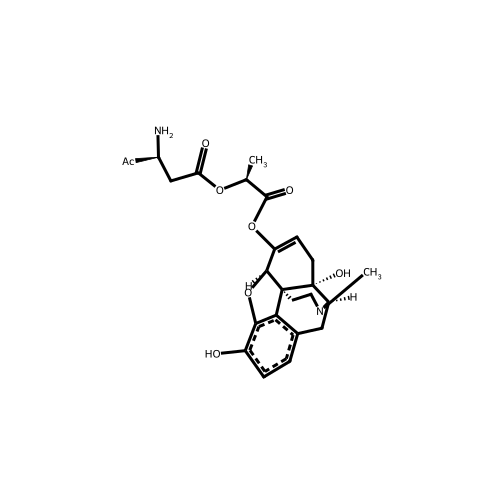 CC(=O)[C@@H](N)CC(=O)O[C@@H](C)C(=O)OC1=CC[C@@]2(O)[C@H]3Cc4ccc(O)c5c4[C@@]2(CCN3C)[C@H]1O5